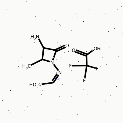 CC1C(N)C(=O)N1/N=C\C(=O)O.O=C(O)C(F)(F)F